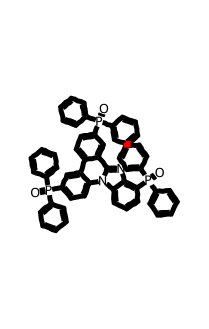 O=P(c1ccccc1)(c1ccccc1)c1ccc2c(c1)c1ccc(P(=O)(c3ccccc3)c3ccccc3)cc1c1nc3c(P(=O)(c4ccccc4)c4ccccc4)cccc3n21